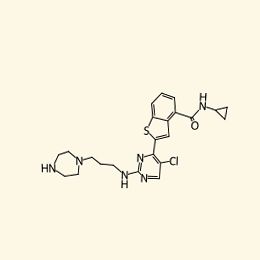 O=C(NC1CC1)c1cccc2sc(-c3nc(NCCCN4CCNCC4)ncc3Cl)cc12